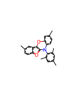 Cc1cc(C)c(N2c3ccc(C)cc3Oc3c2oc2ccc(C)cc32)c(C)c1